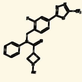 CC(=O)N1CC(C(=O)N(Cc2ccc(-c3nnc(C(F)(F)F)o3)cc2F)c2ccccc2)C1